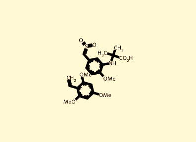 C=Cc1c(OC)cc(OC)cc1OC.COc1ccc(C=S(=O)=O)cc1NC(C)(C)C(=O)O